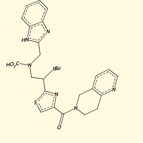 CC(C)(C)C(CN(Cc1nc2ccccc2[nH]1)C(=O)O)c1nc(C(=O)N2CCc3ncccc3C2)cs1